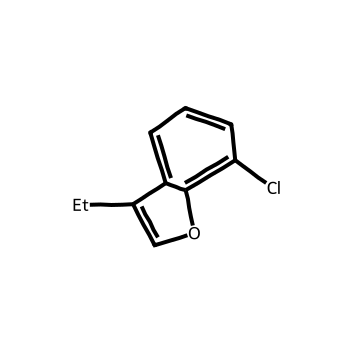 [CH2]Cc1coc2c(Cl)cccc12